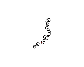 C=C(C)C(=O)OCCOCCOc1ccc(OCOc2ccc(OC(=O)c3ccc(OCCCCOCC4(C)COC4)cc3)cc2)cc1